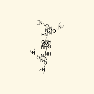 CCN(CC)CCOc1nc(NCCNS(=O)(=O)S(=O)(=O)NCCNc2nc(OCCN(CC)CC)nc(OCCN(CC)CC)n2)nc(OCCN(CC)CC)n1